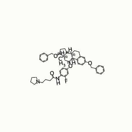 C[C@]12C[C@H](Oc3ccc(NC(=O)CCCN4CCCC4)c(F)c3)[C@@H]3c4ccc(OCc5ccccc5)cc4CC[C@H]3[C@@H]1CC[C@@H]2OCc1ccccc1